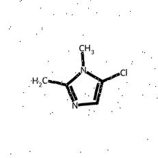 [CH2]c1ncc(Cl)n1C